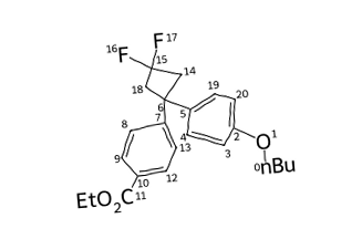 CCCCOc1ccc(C2(c3ccc(C(=O)OCC)cc3)CC(F)(F)C2)cc1